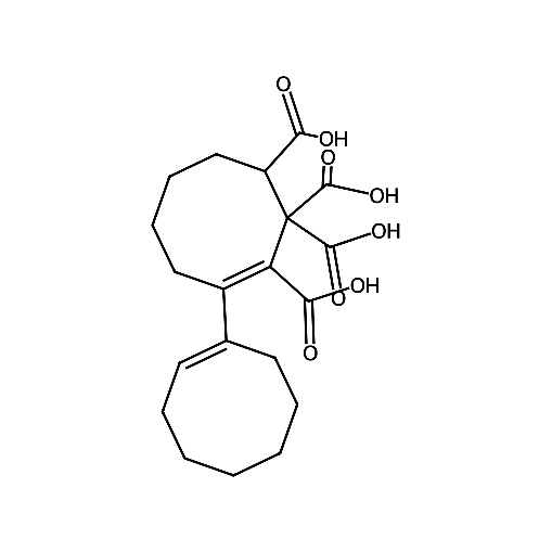 O=C(O)C1=C(C2=CCCCCCC2)CCCCC(C(=O)O)C1(C(=O)O)C(=O)O